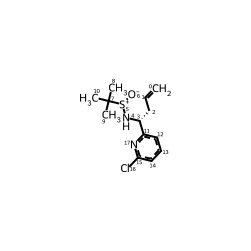 C=CC[C@@H](N[S@@+]([O-])C(C)(C)C)c1cccc(Cl)n1